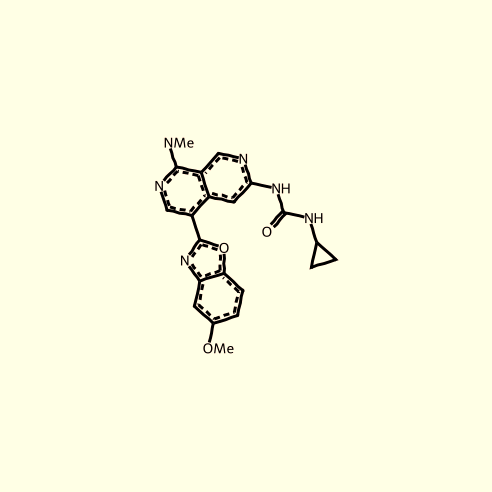 CNc1ncc(-c2nc3cc(OC)ccc3o2)c2cc(NC(=O)NC3CC3)ncc12